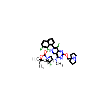 CN(c1nc(OCC23CCCN2CCC3)nc2c(F)c(-c3cccc4ccc(F)c(Cl)c34)ncc12)[C@H]1CN(C(=O)OC(C)(C)C)C[C@@H]1F